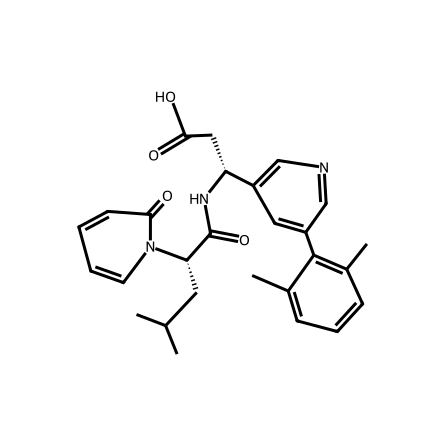 Cc1cccc(C)c1-c1cncc([C@@H](CC(=O)O)NC(=O)[C@H](CC(C)C)n2ccccc2=O)c1